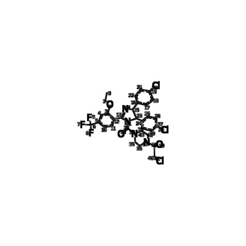 CCOc1cc(C(F)(F)F)ccc1C1=NC(c2ccc(Cl)cc2)C(c2ccc(Cl)cc2)N1C(=O)N1CCN(C(=O)CCl)CC1